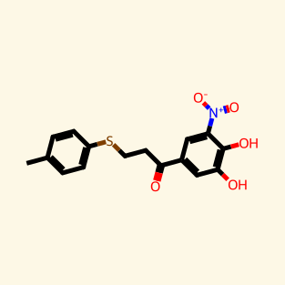 Cc1ccc(SCCC(=O)c2cc(O)c(O)c([N+](=O)[O-])c2)cc1